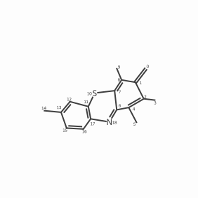 C=c1c(C)c(C)c2c(c1C)Sc1cc(C)ccc1N=2